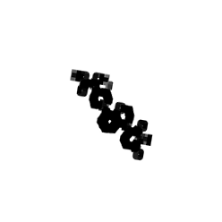 CN(C(=O)O)C1CCN(c2cccc3c2OCCN3C2CCC(=O)NC2=O)CC1